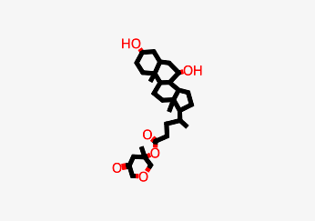 CC(CCC(=O)OC1(C)COCC(=O)C1)C1CCC2C3C(O)CC4CC(O)CCC4(C)C3CCC12C